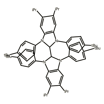 CC(C)c1cc2c(cc1C(C)C)N(c1ccc(C(C)(C)C)cc1)C(C1N(c3ccc(C(C)(C)C)cc3)c3cc(C(C)C)c(C(C)C)cc3N1c1ccc(C(C)(C)C)cc1)N2c1ccc(C(C)(C)C)cc1